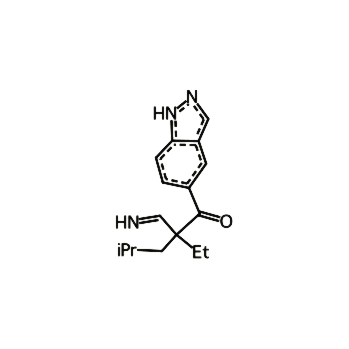 CCC(C=N)(CC(C)C)C(=O)c1ccc2[nH]ncc2c1